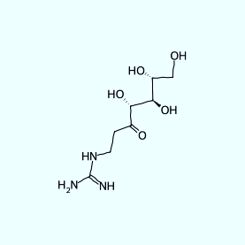 N=C(N)NCCC(=O)[C@H](O)[C@H](O)[C@H](O)CO